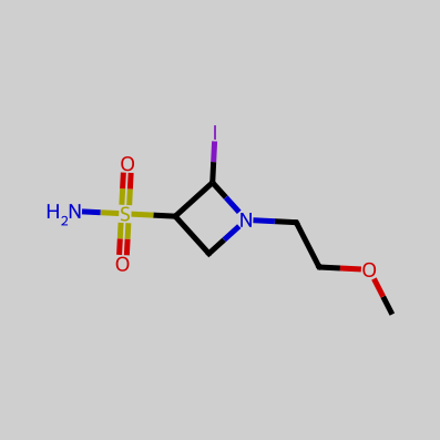 COCCN1CC(S(N)(=O)=O)C1I